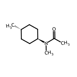 CC(=O)N(C)[C@H]1CC[C@H](C)CC1